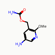 COc1ncc(N)cc1COC(N)=O